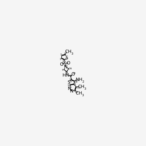 Cc1ccc(S(=O)(=O)N2CC(NC(=O)c3sc4nnc(C)c(C)c4c3N)C2)s1